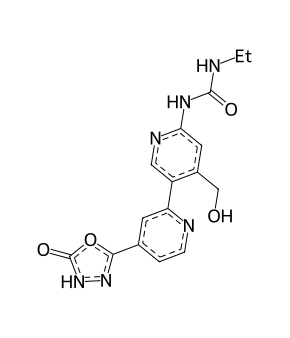 CCNC(=O)Nc1cc(CO)c(-c2cc(-c3n[nH]c(=O)o3)ccn2)cn1